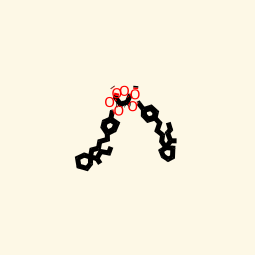 CCCC(C)C1(CCCCc2ccc(CO[C@@H](C(=O)OC)[C@@H](OCc3ccc(CCCCC4(C(C)CCC)CCCCC4)cc3)C(=O)OC)cc2)CCCCC1